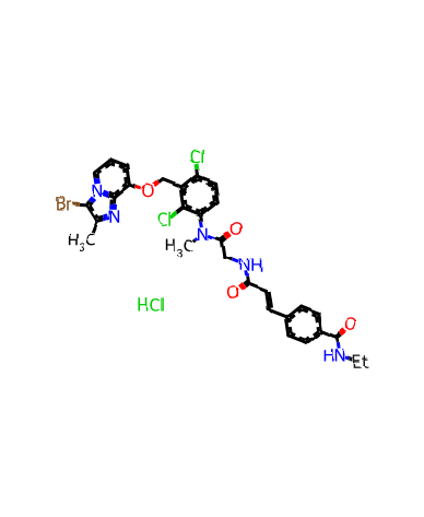 CCNC(=O)c1ccc(C=CC(=O)NCC(=O)N(C)c2ccc(Cl)c(COc3cccn4c(Br)c(C)nc34)c2Cl)cc1.Cl